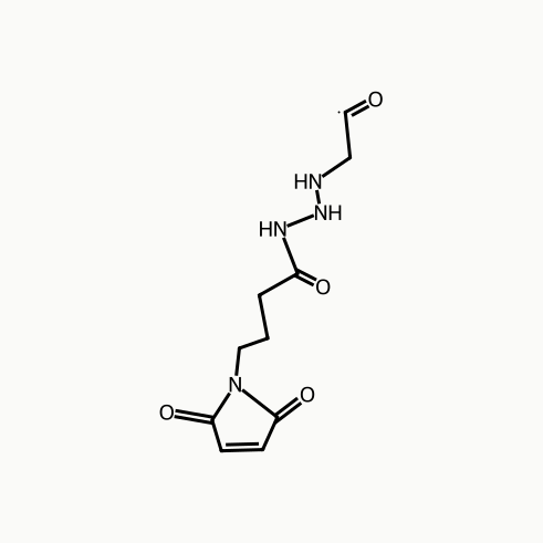 O=[C]CNNNC(=O)CCCN1C(=O)C=CC1=O